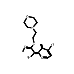 C=c1c(Cl)ccn/c1=C(Br)/C(=N\C)OCCN1CCOCC1